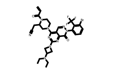 C=CC(=O)N1CCN(c2nc(N3CC(N(CC)CC)C3)nc3c(=O)n(-c4cccc(Br)c4C(F)(F)F)ncc23)CC1CC#N